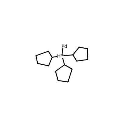 [Pd][PH](C1CCCC1)(C1CCCC1)C1CCCC1